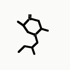 CCC(C)CN1CC(C)NCC1C